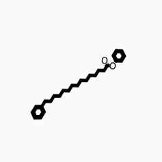 O=C(CCCCCCCCCCCCCCc1ccccc1)Oc1ccccc1